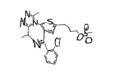 Cc1nnc2n1-c1sc(CCCOS(C)(=O)=O)cc1C(c1ccccc1Cl)=NC2C